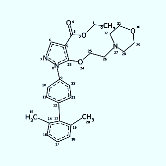 CCOC(=O)c1cnn(-c2ccc(-c3c(C)cccc3C)cc2)c1OCCN1CCOCC1